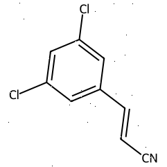 N#CC=Cc1cc(Cl)cc(Cl)c1